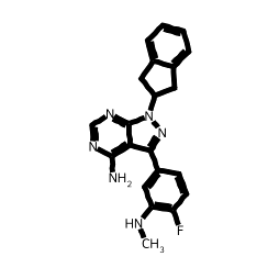 CNc1cc(-c2nn(C3Cc4ccccc4C3)c3ncnc(N)c23)ccc1F